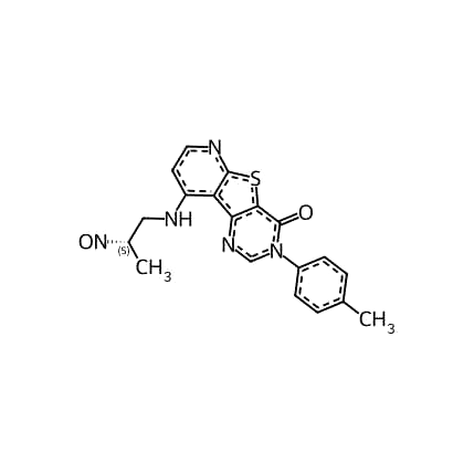 Cc1ccc(-n2cnc3c(sc4nccc(NC[C@H](C)N=O)c43)c2=O)cc1